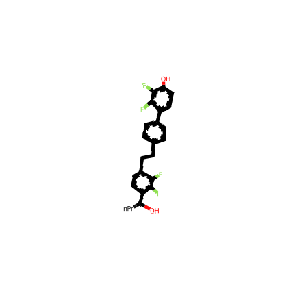 CCCC(O)c1ccc(CCc2ccc(-c3ccc(O)c(F)c3F)cc2)c(F)c1F